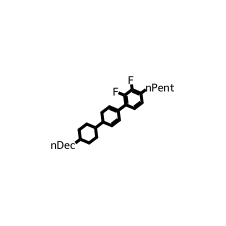 CCCCCCCCCCC1CCC(C2C=CC(c3ccc(CCCCC)c(F)c3F)=CC2)CC1